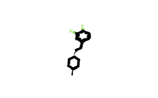 C[C@H]1CC[C@H](CCc2ccc(F)c(F)c2)CC1